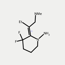 CC/C(CNC)=C1/N(N)CCCC1(F)F